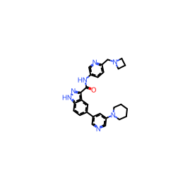 O=C(Nc1ccc(CN2CCC2)nc1)c1n[nH]c2ccc(-c3cncc(N4CCCCC4)c3)cc12